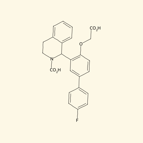 O=C(O)COc1ccc(-c2ccc(F)cc2)cc1C1c2ccccc2CCN1C(=O)O